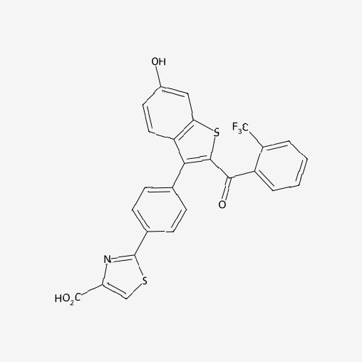 O=C(O)c1csc(-c2ccc(-c3c(C(=O)c4ccccc4C(F)(F)F)sc4cc(O)ccc34)cc2)n1